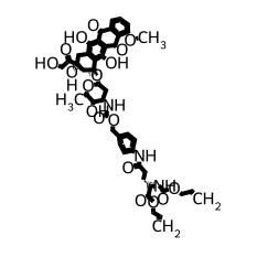 C=CCOC(=O)N[C@@H](CCC(=O)Nc1ccc(COC(=O)NC2CC(O[C@H]3C[C@](O)(C(=O)CO)Cc4c(O)c5c(c(O)c43)C(=O)c3c(OC)cccc3C5=O)OC(C)C2O)cc1)C(=O)OCC=C